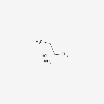 CCCC.Cl.[InH3]